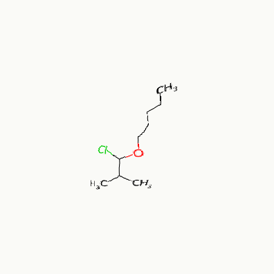 CCCCCOC(Cl)C(C)C